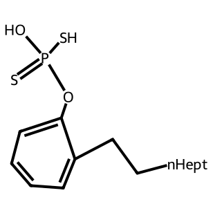 CCCCCCCCCc1ccccc1OP(O)(=S)S